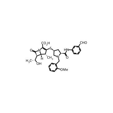 COc1ccccc1CN1C[C@@H](SC2=C(C(=O)O)N3C(=O)[C@H]([C@@H](C)O)[C@H]3[C@H]2C)C[C@H]1C(=O)Nc1cccc(C=O)c1